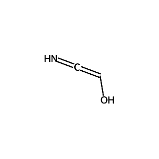 N=C=CO